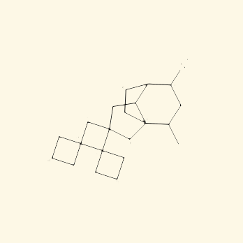 CC1CC(N)C2CCC13CC1(CC23)CC2(CCC2)C12CCC2